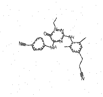 CCn1nc(Nc2c(C)cc(CCC#N)cc2C)nc(Nc2ccc(C#N)cc2)c1=O